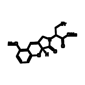 COC(=O)C(CC(C)C)N1CC2=Cc3c(OC)cccc3O[C@@H]2C1=O